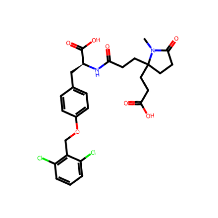 CN1C(=O)CCC1(CCC(=O)O)CCC(=O)N[C@@H](Cc1ccc(OCc2c(Cl)cccc2Cl)cc1)C(=O)O